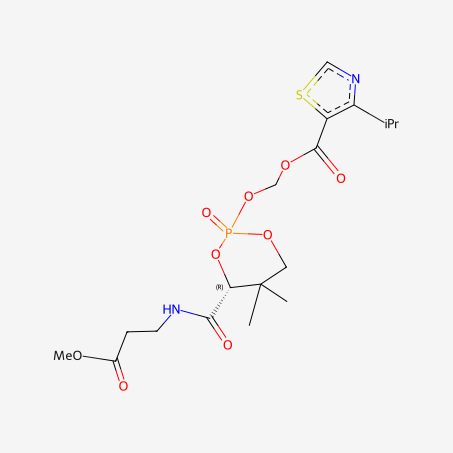 COC(=O)CCNC(=O)[C@@H]1OP(=O)(OCOC(=O)c2scnc2C(C)C)OCC1(C)C